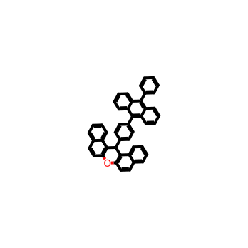 c1ccc(-c2c3ccccc3c(-c3ccc(C4c5c(ccc6ccccc56)Oc5ccc6ccccc6c54)cc3)c3ccccc23)cc1